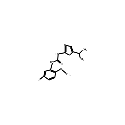 COc1ccc(Cl)cc1NC(=O)Nc1ncc(C(C)C)s1